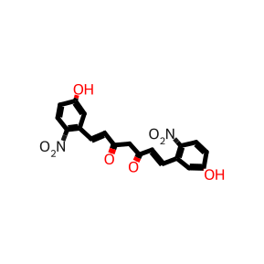 O=C(C=Cc1cc(O)ccc1[N+](=O)[O-])CC(=O)C=Cc1cc(O)ccc1[N+](=O)[O-]